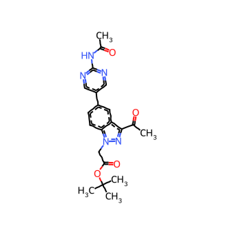 CC(=O)Nc1ncc(-c2ccc3c(c2)c(C(C)=O)nn3CC(=O)OC(C)(C)C)cn1